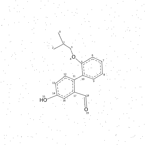 CC(C)COc1ccccc1-c1ccc(O)cc1C=O